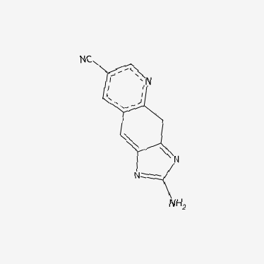 N#Cc1cnc2c(c1)C=C1N=C(N)N=C1C2